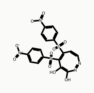 O=[N+]([O-])c1ccc(S(=O)(=O)C2=C(S(=O)(=O)c3ccc([N+](=O)[O-])cc3)C(O)=C(O)N=NC=C2)cc1